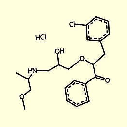 COCC(C)NCC(O)COC(Cc1cccc(Cl)c1)C(=O)c1ccccc1.Cl